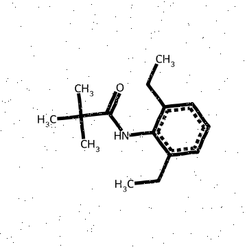 CCc1cccc(CC)c1NC(=O)C(C)(C)C